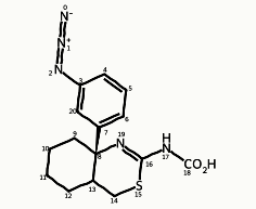 [N-]=[N+]=Nc1cccc([C@]23CCCCC2CSC(NC(=O)O)=N3)c1